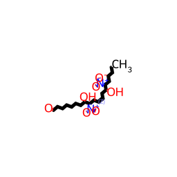 CCCCCC(C(O)C/C=C\CC(C(O)CCCCCCC=O)[N+](=O)[O-])[N+](=O)[O-]